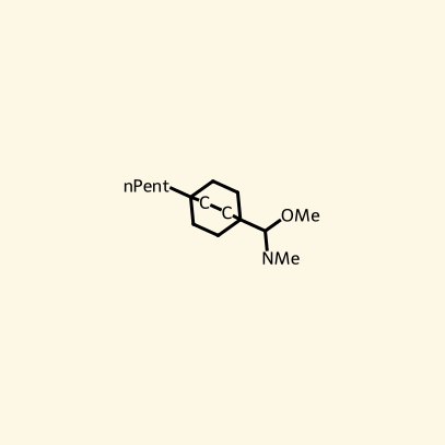 CCCCCC12CCC(C(NC)OC)(CC1)CC2